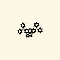 O=C1OC2(c3ccc(N(c4ccccc4)c4ccccc4)cc3Oc3cc(N(c4ccccc4)c4ccccc4)ccc32)c2ccccc21